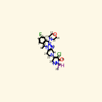 CC(c1ccc(F)cc1CN1CCOCC1)n1nnc2c1CCN(c1cnn(PI)c(=O)c1Cl)C2